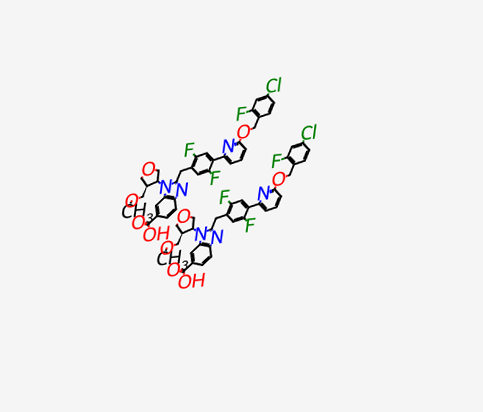 COC[C@H]1COC[C@H]1n1c(Cc2cc(F)c(-c3cccc(OCc4ccc(Cl)cc4F)n3)cc2F)nc2ccc(C(=O)O)cc21.COC[C@H]1COC[C@H]1n1c(Cc2cc(F)c(-c3cccc(OCc4ccc(Cl)cc4F)n3)cc2F)nc2ccc(C(=O)O)cc21